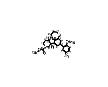 COc1ccc(C(C)C)cc1-c1cc2c3c(c1)[C@@H]1CN(C(=O)OC(C)(C)C)CC[C@@H]1N3CCCO2